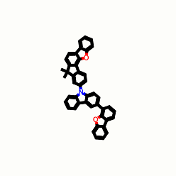 CC1(C)c2cc(-n3c4ccccc4c4cc(-c5cccc6c5oc5ccccc56)ccc43)ccc2-c2c1ccc1c2oc2ccccc21